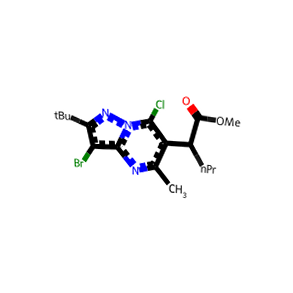 CCCC(C(=O)OC)c1c(C)nc2c(Br)c(C(C)(C)C)nn2c1Cl